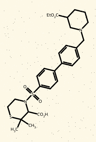 CCOC(=O)C1CCCN(Cc2ccc(-c3ccc(S(=O)(=O)N4CCSC(C)(C)C4C(=O)O)cc3)cc2)C1